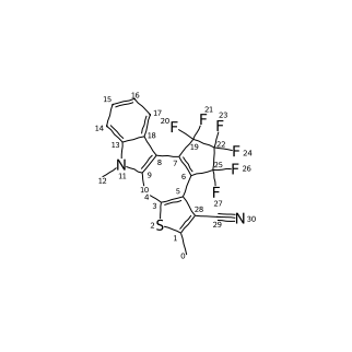 Cc1sc(C)c(C2=C(c3c(C)n(C)c4ccccc34)C(F)(F)C(F)(F)C2(F)F)c1C#N